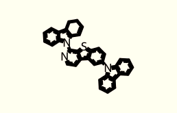 C1=Cc2c(c3ccccc3n2-c2nccc3c2sc2ccc(-n4c5ccccc5c5ccccc54)cc23)CC1